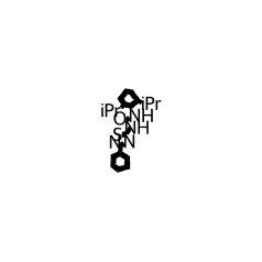 CC(C)c1cccc(C(C)C)c1NC(=O)Nc1nc(-c2ccccc2)ns1